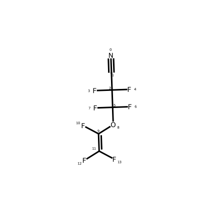 N#CC(F)(F)C(F)(F)OC(F)=C(F)F